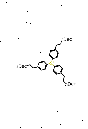 CCCCCCCCCCCCc1ccc([S+](c2ccc(CCCCCCCCCCCC)cc2)c2ccc(CCCCCCCCCCCC)cc2)cc1